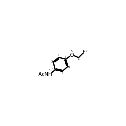 CC(=O)Nc1ccc(OCF)cc1